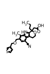 CCCC1(CC(=O)O)OCCc2c1[nH]c1c(C)c(COCc3ccsc3)cc(C#N)c21